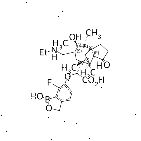 CCNC[C@]1(C)C[C@@H](C(Oc2ccc3c(c2F)B(O)OC3)C(=O)O)[C@@]2(C)[C@H](C)CC[C@]3(CCC(=O)[C@H]32)[C@@H](C)[C@@H]1O